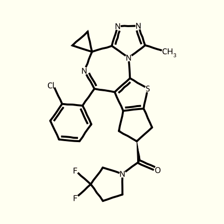 Cc1nnc2n1-c1sc3c(c1C(c1ccccc1Cl)=NC21CC1)C[C@H](C(=O)N1CCC(F)(F)C1)C3